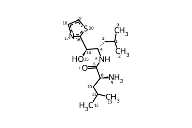 CC(C)C[C@H](NC(=O)[C@@H](N)CC(C)C)[C@@H](O)c1nccs1